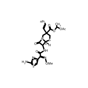 CCCC=CC1(C(=O)OC(C)OC(C)=O)CS[C@@H]2C(NC(=O)C(=NOC)c3csc(N)n3)C(=O)N2C1